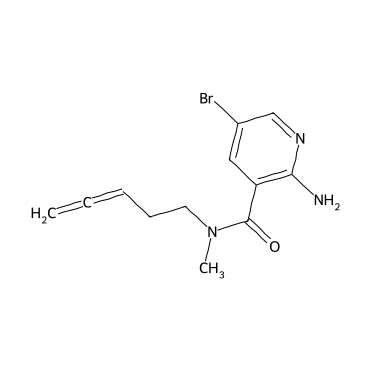 C=C=CCCN(C)C(=O)c1cc(Br)cnc1N